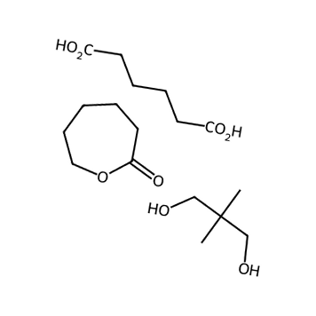 CC(C)(CO)CO.O=C(O)CCCCC(=O)O.O=C1CCCCCO1